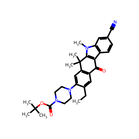 CCc1cc2c(cc1N1CCN(C(=O)OC(C)(C)C)CC1)C(C)(C)c1c(c3ccc(C#N)cc3n1C)C2=O